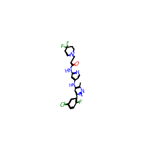 Cc1nnc(-c2cc(Cl)ccc2F)cc1Nc1ccnc(NC(=O)CCN2CCC(F)(F)CC2)c1